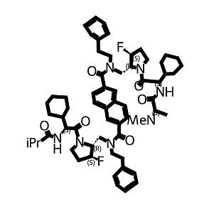 CN[C@@H](C)C(=O)N[C@H](C(=O)N1CC[C@H](F)[C@H]1CN(CCc1ccccc1)C(=O)c1ccc2cc(C(=O)N(CCc3ccccc3)C[C@@H]3[C@@H](F)CCN3C(=O)[C@@H](NC(=O)C(C)C)C3CCCCC3)ccc2c1)C1CCCCC1